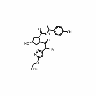 CCCC(C(=O)N1C[C@H](O)C[C@H]1C(=O)NC(C)c1ccc(C#N)cc1)c1cc(OCC=O)no1